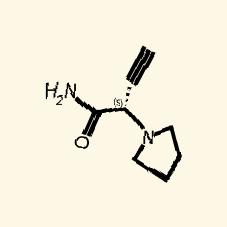 C#C[C@@H](C(N)=O)N1CCCC1